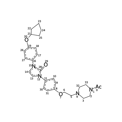 CC(=O)N1CCN(CCOc2ccc(-n3ccn(-c4ccc(OC5CCCC5)cc4)c3=O)cc2)CC1